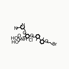 Cc1c(COc2cc(OCc3cncc(C#N)c3)c(CNC(CO)C(=O)O)cc2Cl)cccc1-c1cccc(OCCCBr)c1C